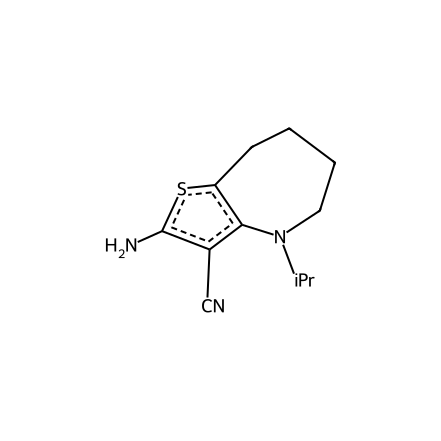 CC(C)N1CCCCc2sc(N)c(C#N)c21